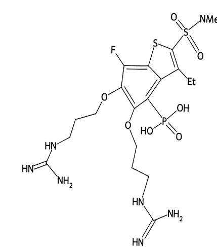 CCc1c(S(=O)(=O)NC)sc2c(F)c(OCCCNC(=N)N)c(OCCCNC(=N)N)c(P(=O)(O)O)c12